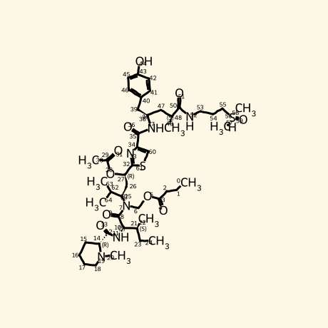 CCCC(=O)OCN(C(=O)[C@@H](NC(=O)[C@H]1CCCCN1C)[C@@H](C)CC)[C@H](C[C@@H](OC(C)=O)c1nc(C(=O)N[C@@H](Cc2ccc(O)cc2)C[C@H](C)C(=O)NCCC[SH](C)(C)=O)cs1)C(C)C